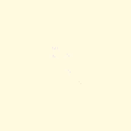 N#Cc1cccc(C(=N)NN)n1